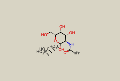 CC(=O)O.CC(=O)O.CC(=O)O.CCCC(=O)N[C@H]1C(O)O[C@H](CO)[C@H](O)[C@@H]1O